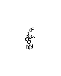 C=CCOc1c(C=CCCCC(C)F)ccc2cc(-c3ncccn3)ccc12